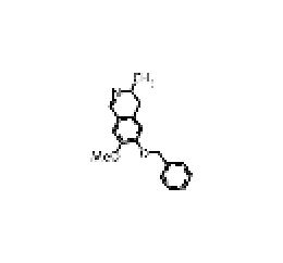 COc1cc2c(cc1OCc1ccccc1)CC(C)N=C2